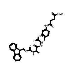 COC(=O)CCC(=O)Nc1ccc(C[C@H](NC(=O)C(C)NC(=O)OCC2c3ccccc3-c3ccccc32)C(=O)OC)cc1